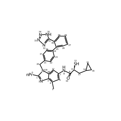 CCCc1nc2c(C)cc(NC(=O)[C@@H](S)CC3CC3)cc2n1Cc1ccc(-c2ccccc2-c2nnn[nH]2)cc1